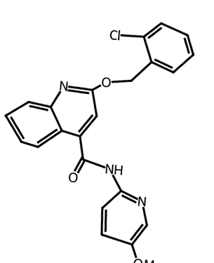 COc1ccc(NC(=O)c2cc(OCc3ccccc3Cl)nc3ccccc23)nc1